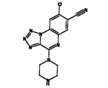 N#Cc1cc2nc(N3CCNCC3)c3nnnn3c2cc1Cl